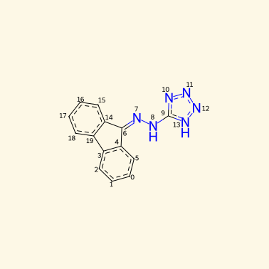 c1ccc2c(c1)C(=NNc1nnn[nH]1)c1ccccc1-2